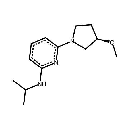 CO[C@@H]1CCN(c2cccc(NC(C)C)n2)C1